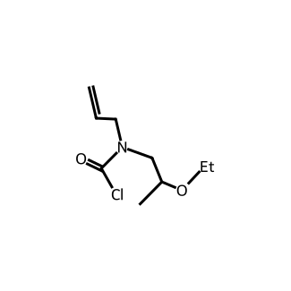 C=CCN(CC(C)OCC)C(=O)Cl